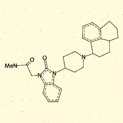 CNC(=O)Cn1c(=O)n(C2CCN(C3CCC4CCCc5cccc3c54)CC2)c2ccccc21